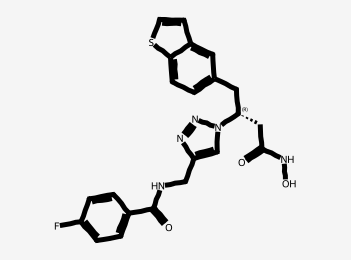 O=C(C[C@@H](Cc1ccc2sccc2c1)n1cc(CNC(=O)c2ccc(F)cc2)nn1)NO